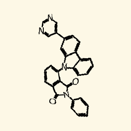 O=C1c2cccc(-n3c4ccccc4c4ccc(-c5cncnc5)cc43)c2C(=O)N1c1ccccc1